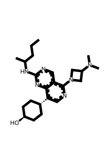 CCCC(C)Nc1ncc2c(N3CC(N(C)C)C3)ncc([C@H]3CC[C@H](O)CC3)c2n1